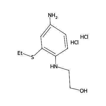 CCSc1cc(N)ccc1NCCO.Cl.Cl